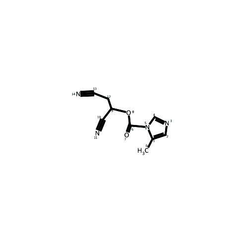 Cc1cncn1C(=O)OC(C#N)CC#N